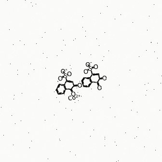 O=C1C=C(S(=O)(=O)[O-])c2ccccc2C1=O.O=C1C=C(S(=O)(=O)[O-])c2ccccc2C1=O.[Co+2]